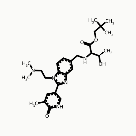 Cc1cc(-c2nc3cc(CNC(C(=O)OCC(C)(C)C)[C@@H](C)O)ccc3n2CCN(C)C)c[nH]c1=O